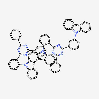 c1ccc(-c2nc(-c3ccccc3)nc(-c3ccccc3-n3c4ccccc4c4c5c6ccccc6n(-c6ccccc6-c6nc(-c7ccccc7)nc(-c7cccc(-n8c9ccccc9c9ccccc98)c7)n6)c5ccc43)n2)cc1